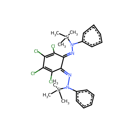 C[Si](C)(C)N(N=C1C(=NN(c2ccccc2)[Si](C)(C)C)C(Cl)=C(Cl)C(Cl)=C1Cl)c1ccccc1